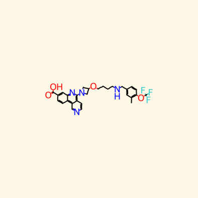 Cc1cc(CNCCCCOC2CN(c3nc4cc(C(=O)O)ccc4c4cnccc34)C2)ccc1OC(F)(F)F